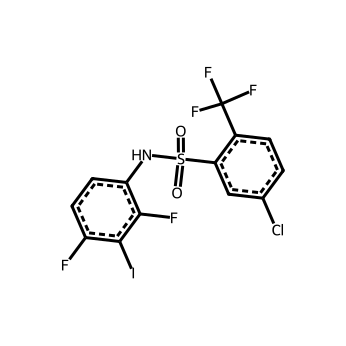 O=S(=O)(Nc1ccc(F)c(I)c1F)c1cc(Cl)ccc1C(F)(F)F